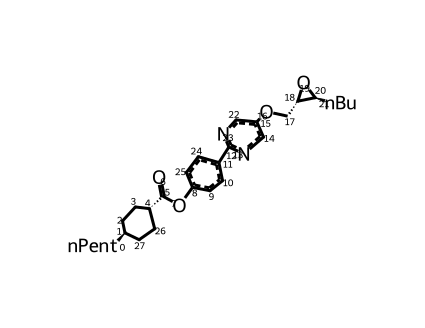 CCCCC[C@H]1CC[C@H](C(=O)Oc2ccc(-c3ncc(OC[C@@H]4O[C@H]4CCCC)cn3)cc2)CC1